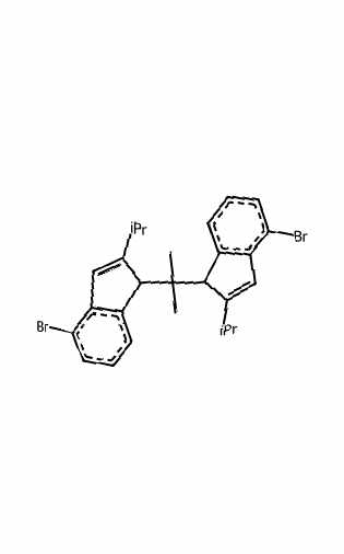 CC(C)C1=Cc2c(Br)cccc2C1C(C)(C)C1C(C(C)C)=Cc2c(Br)cccc21